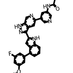 COc1cc(F)cc(-c2cccc3[nH]c(-c4n[nH]c5cnc(-c6cncc(NC(=O)C7CCC7)c6)cc45)cc23)c1